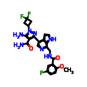 COc1ccc(F)cc1C(=O)NCc1ncc(-c2nn(C3CC(F)(F)C3)c(N)c2C(N)=O)c2cc[nH]c12